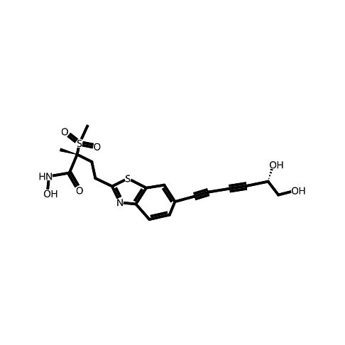 C[C@@](CCc1nc2ccc(C#CC#C[C@H](O)CO)cc2s1)(C(=O)NO)S(C)(=O)=O